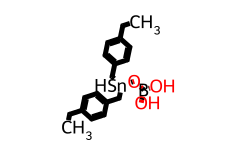 CCc1ccc([CH2][SnH]([CH2]c2ccc(CC)cc2)[O]B(O)O)cc1